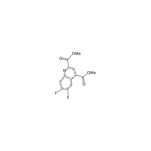 COC(=O)c1cc(C(=O)OC)c2cc(F)c(F)cc2n1